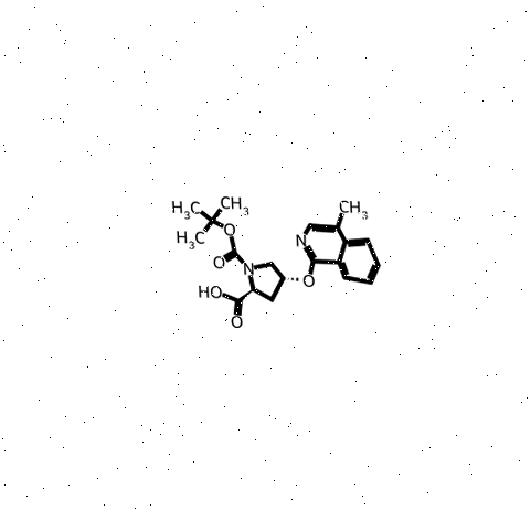 Cc1cnc(O[C@@H]2C[C@@H](C(=O)O)N(C(=O)OC(C)(C)C)C2)c2ccccc12